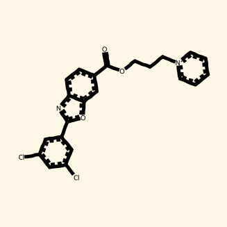 O=C(OCCC[n+]1ccccc1)c1ccc2nc(-c3cc(Cl)cc(Cl)c3)oc2c1